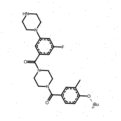 CC[C@@H](C)Oc1ccc(C(=O)N2CCN(C(=O)c3cc(F)cc(N4CCNCC4)c3)CC2)cc1C